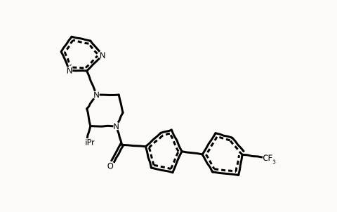 CC(C)C1CN(c2ncccn2)CCN1C(=O)c1ccc(-c2ccc(C(F)(F)F)cc2)cc1